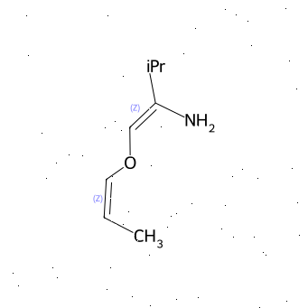 C/C=C\O/C=C(\N)C(C)C